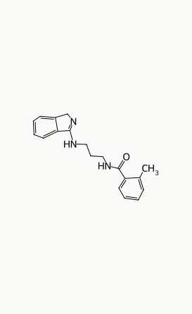 Cc1ccccc1C(=O)NCCCNC1=NCc2ccccc21